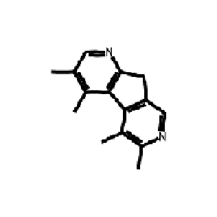 Cc1cnc2c(c1C)-c1c(cnc(C)c1C)C2